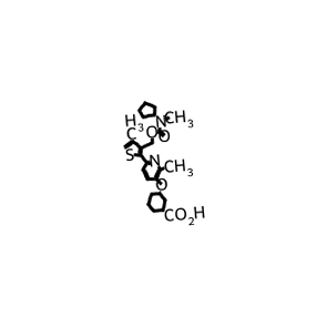 Cc1csc(-c2ccc(O[C@H]3CCC[C@H](C(=O)O)C3)c(C)n2)c1COC(=O)N(C)C1CCCC1